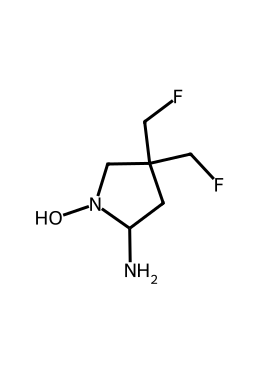 NC1CC(CF)(CF)CN1O